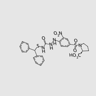 O=C(NNc1ccc(S(=O)(=O)N2CCC[C@H]2C(=O)O)cc1[N+](=O)[O-])NSC(c1ccccc1)c1ccccc1